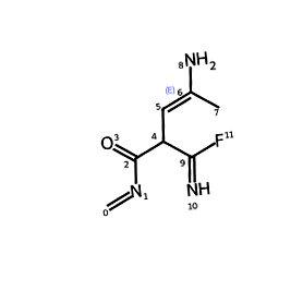 C=NC(=O)C(/C=C(\C)N)C(=N)F